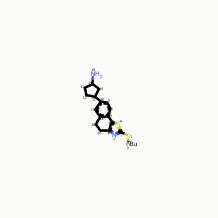 CCCCSc1nc2c(s1)-c1ccc(C3CCC(N)C3)cc1CC2